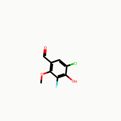 COc1c(C=O)cc(Cl)c(O)c1F